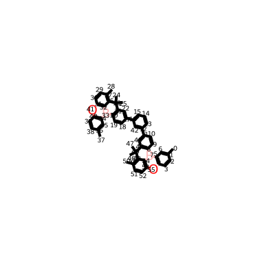 Cc1ccc2c(c1)B1c3ccc(-c4cccc(-c5ccc6c(c5)C(C)(C)c5c(C)ccc7c5B6c5cc(C)ccc5O7)c4)cc3C(C)(C)c3c(C)ccc(c31)O2